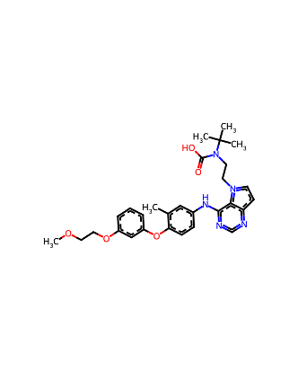 COCCOc1cccc(Oc2ccc(Nc3ncnc4ccn(CCN(C(=O)O)C(C)(C)C)c34)cc2C)c1